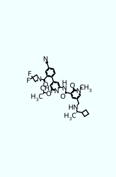 CC(C)Oc1cc(-c2ccc(C#N)cc2C(=O)N2CC(F)(F)C2)cc(NC(=O)c2cc(CN[C@@H](C)C3CCC3)cn(C)c2=O)n1